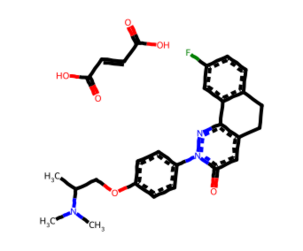 CC(COc1ccc(-n2nc3c(cc2=O)CCc2ccc(F)cc2-3)cc1)N(C)C.O=C(O)/C=C/C(=O)O